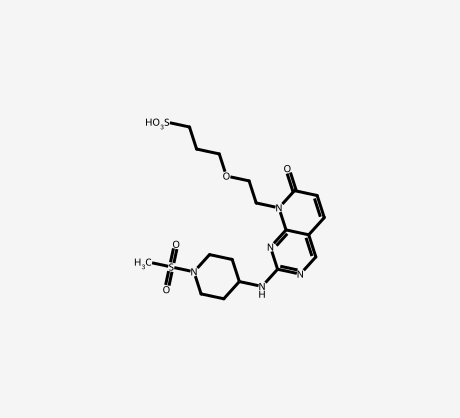 CS(=O)(=O)N1CCC(Nc2ncc3ccc(=O)n(CCOCCCS(=O)(=O)O)c3n2)CC1